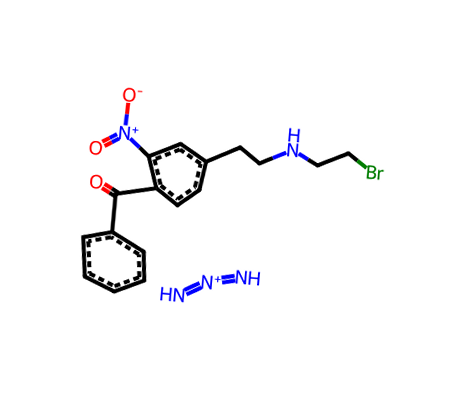 N=[N+]=N.O=C(c1ccccc1)c1ccc(CCNCCBr)cc1[N+](=O)[O-]